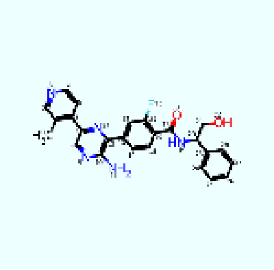 Cc1cnccc1-c1cnc(N)c(-c2ccc(C(=O)NC(CO)c3ccccc3)c(F)c2)n1